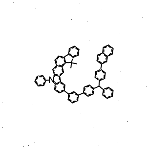 CC1(C)c2ccccc2-c2ccc3cc4c(cc3c21)c1cc(-c2cccc(-c3ccc(C(c5ccccc5)c5ccc(-c6ccc7ccccc7c6)cc5)cc3)c2)ccc1n4-c1ccccc1